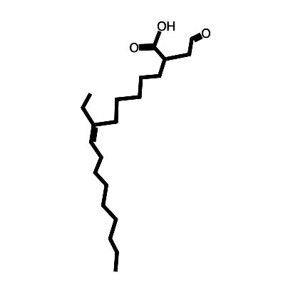 CCCCCCCC/C=C(/CC)CCCCCC(CC=O)C(=O)O